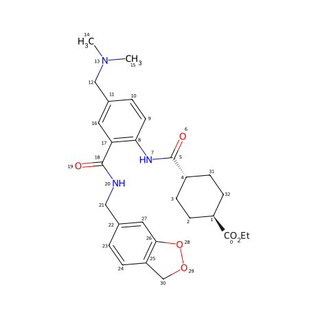 CCOC(=O)[C@H]1CC[C@H](C(=O)Nc2ccc(CN(C)C)cc2C(=O)NCc2ccc3c(c2)OOC3)CC1